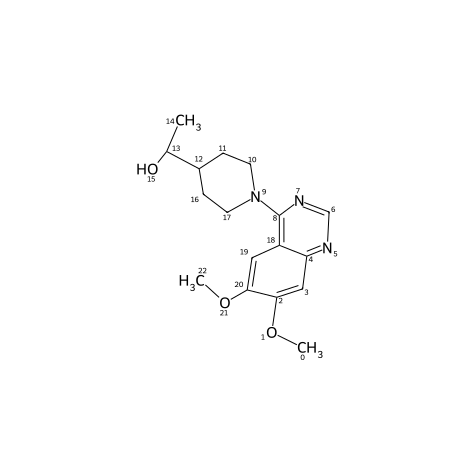 COc1cc2ncnc(N3CCC(C(C)O)CC3)c2cc1OC